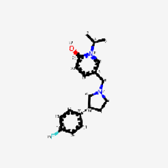 CC(C)n1cc(CN2CC[C@H](c3ccc(F)cc3)C2)ccc1=O